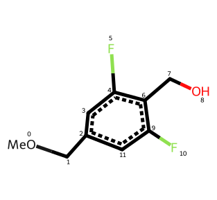 COCc1cc(F)c(CO)c(F)c1